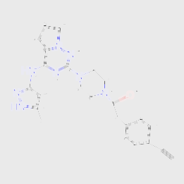 C#Cc1ccc(CC(=O)N2CCN(c3nc(Nc4cc(C)[nH]n4)c4cccn4n3)CC2)cc1